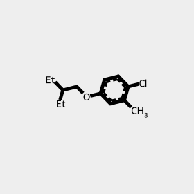 CCC(CC)COc1ccc(Cl)c(C)c1